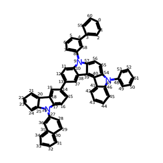 c1ccc(-c2cccc(-n3c4ccc(-c5ccc6c(c5)c5ccccc5n6-c5ccc6ccccc6c5)cc4c4c5c6ccccc6n(-c6ccccc6)c5ccc43)c2)cc1